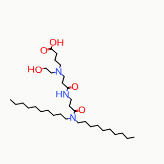 CCCCCCCCCCN(CCCCCCCCCC)C(=O)CCNC(=O)CCN(CCO)CCCC(=O)O